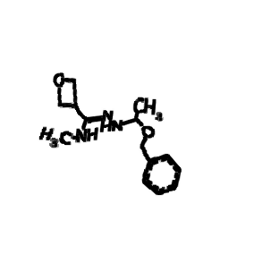 CN/C(=N\NC(C)OCc1ccccc1)C1COC1